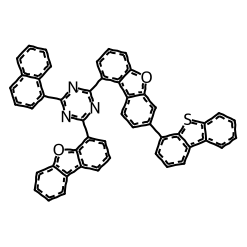 c1ccc2c(-c3nc(-c4cccc5c4oc4ccccc45)nc(-c4cccc5oc6cc(-c7cccc8c7sc7ccccc78)ccc6c45)n3)cccc2c1